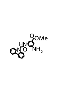 COC(=O)c1cc(N)cc(NC(=O)Cn2c3ccccc3c3ccccc32)c1